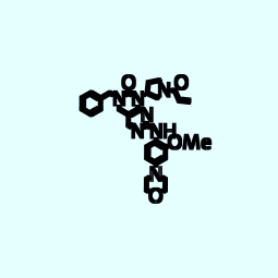 C=CC(=O)N1CC[C@H](N2C(=O)N(Cc3ccccc3)Cc3cnc(Nc4ccc(N5CCOCC5)cc4OC)nc32)C1